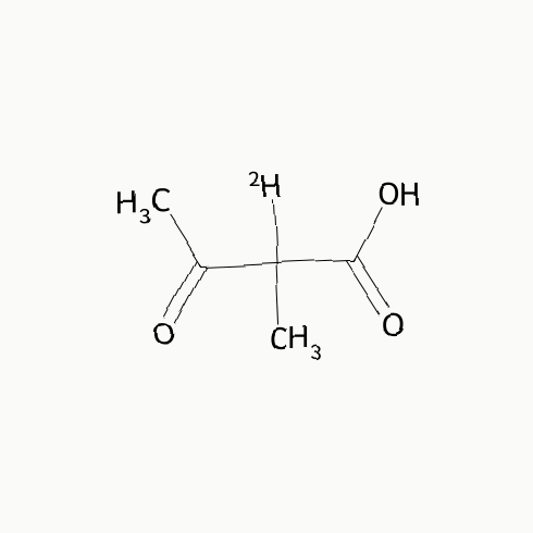 [2H]C(C)(C(C)=O)C(=O)O